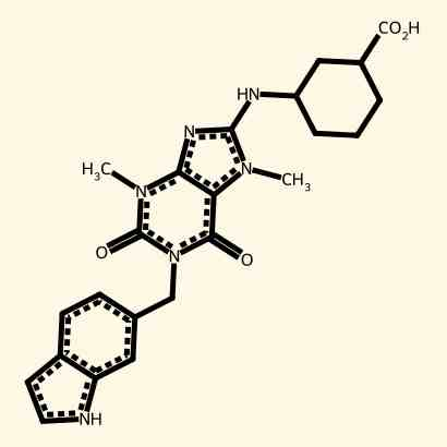 Cn1c(NC2CCCC(C(=O)O)C2)nc2c1c(=O)n(Cc1ccc3cc[nH]c3c1)c(=O)n2C